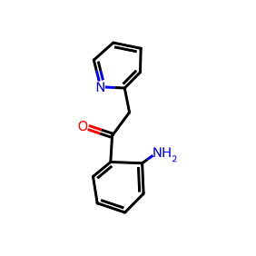 Nc1ccccc1C(=O)Cc1ccccn1